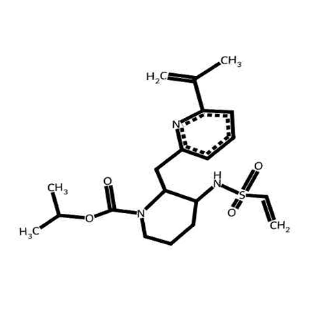 C=CS(=O)(=O)NC1CCCN(C(=O)OC(C)C)C1Cc1cccc(C(=C)C)n1